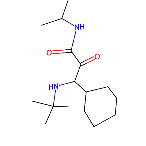 CC(C)NC(=O)C(=O)C(NC(C)(C)C)C1CCCCC1